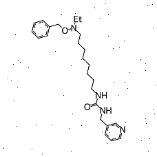 CCN(CCCCCCCCNC(=O)NCc1cccnc1)OCc1ccccc1